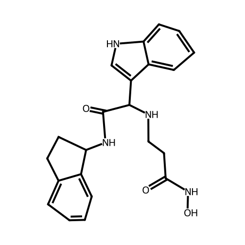 O=C(CCNC(C(=O)NC1CCc2ccccc21)c1c[nH]c2ccccc12)NO